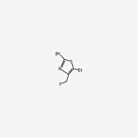 CCc1sc(C(C)C)nc1CF